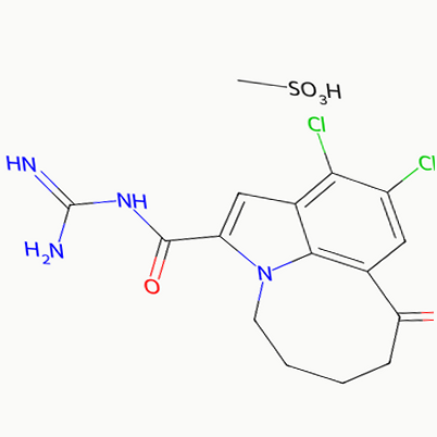 CS(=O)(=O)O.N=C(N)NC(=O)c1cc2c(Cl)c(Cl)cc3c2n1CCCCC3=O